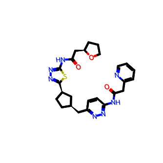 O=C(Cc1ccccn1)Nc1ccc(C[C@H]2CC[C@@H](c3nnc(NC(=O)C[C@H]4CCCO4)s3)C2)nn1